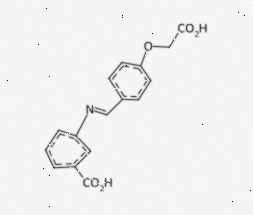 O=C(O)COc1ccc(C=Nc2cccc(C(=O)O)c2)cc1